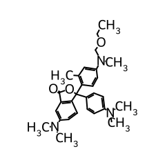 CCOCN(C)c1ccc(C2(c3ccc(N(C)C)cc3)OC(=O)c3cc(N(C)C)ccc32)c(C)c1